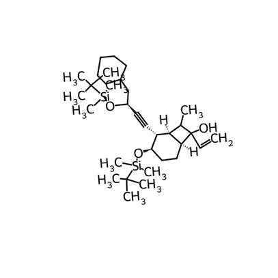 C=CC1(O)C(C)[C@@H]2[C@@H](C#C[C@H](CC3CCCCC3)O[Si](C)(C)C(C)(C)C)[C@H](O[Si](C)(C)C(C)(C)C)CC[C@@H]21